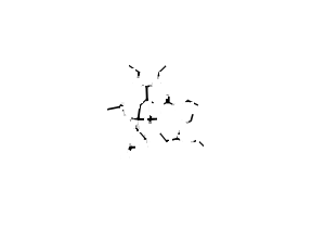 CCOC(=S)SC(CC(NC(C)=O)([C@@H]1OC(=O)O[C@H]1CCC(OCC)OCC)C(F)(F)F)C(OCC)OCC